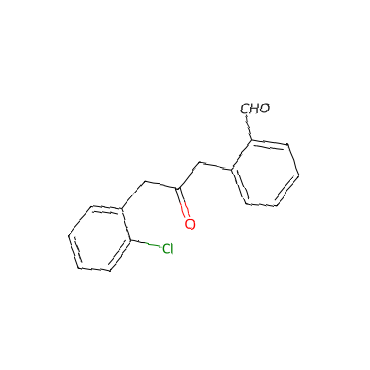 O=Cc1ccccc1CC(=O)Cc1ccccc1Cl